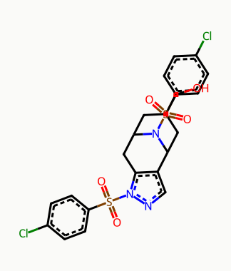 O=S(=O)(c1ccc(Cl)cc1)N1C2Cc3c(cnn3S(=O)(=O)c3ccc(Cl)cc3)C1CC(CO)C2